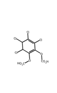 O=C(O)OC1=C(OC(=O)O)C(Cl)C(Cl)C(Cl)=C1Cl